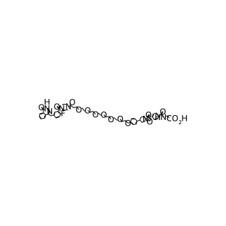 O=C(O)CNC(=O)c1ccc(S(=O)(=O)N2CCC(c3ccc(OCCOCCOCCOCCOCCOCCOCCC(=O)N4CCN(C(=O)c5cc(Cc6n[nH]c(=O)c7ccccc67)ccc5F)CC4)cc3)CC2)cc1